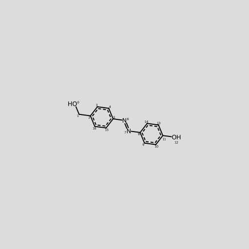 OCc1ccc(/N=N/c2ccc(O)cc2)cc1